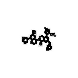 CCc1cc(-c2cncnc2)c2nccc(N3CCc4c(cc(Cn5ccnc5)cc4-c4cn(C)nc4C(F)(F)F)C3=O)c2c1